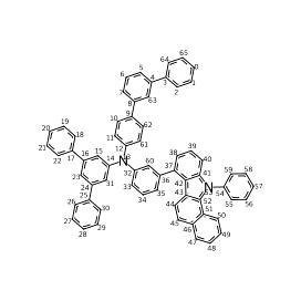 c1ccc(-c2cccc(-c3ccc(N(c4cc(-c5ccccc5)cc(-c5ccccc5)c4)c4cccc(-c5cccc6c5c5ccc7ccccc7c5n6-c5ccccc5)c4)cc3)c2)cc1